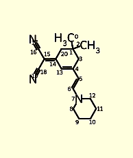 CC1(C)CC(C=CN2CCCCC2)=CC(=C(C#N)C#N)C1